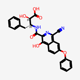 N#Cc1nc(C(=O)N[C@H](Cc2ccccc2)[C@@H](O)C(=O)O)c(O)c2ccc(Oc3ccccc3)cc12